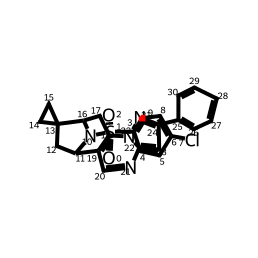 O=S(=O)(c1ccc(Cl)cc1)N1C2CC3(CC3)C1Cc1c2cnc2cc(-c3ccccc3)nn12